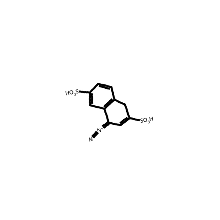 [N-]=[N+]=C1C=C(S(=O)(=O)O)Cc2ccc(S(=O)(=O)O)cc21